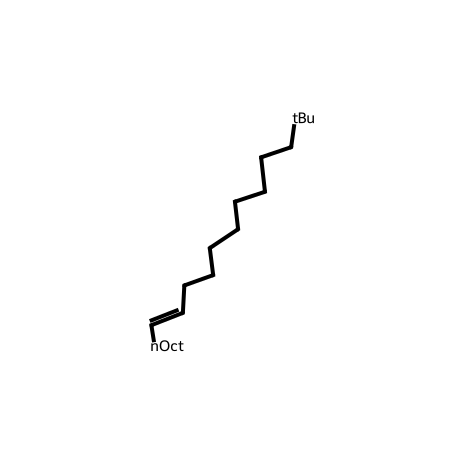 [CH2]C(C)(C)CCCCCCCCC=CCCCCCCCC